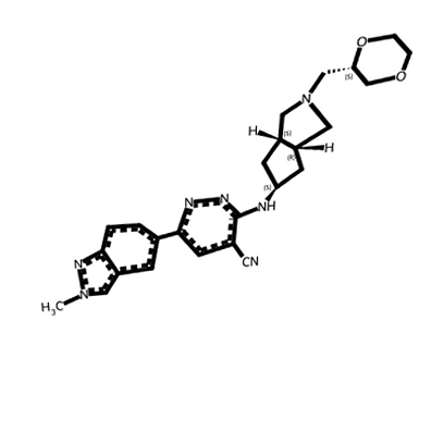 Cn1cc2cc(-c3cc(C#N)c(N[C@H]4C[C@@H]5CN(C[C@H]6COCCO6)C[C@@H]5C4)nn3)ccc2n1